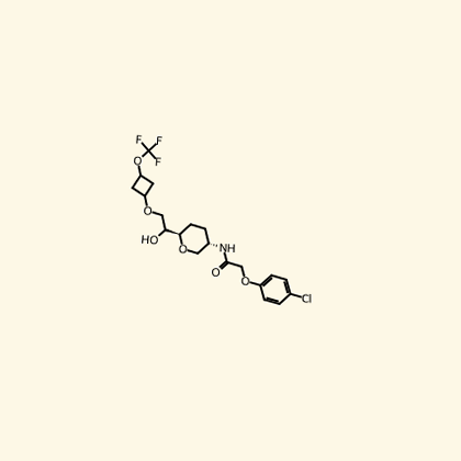 O=C(COc1ccc(Cl)cc1)N[C@H]1CC[C@H](C(O)COC2CC(OC(F)(F)F)C2)OC1